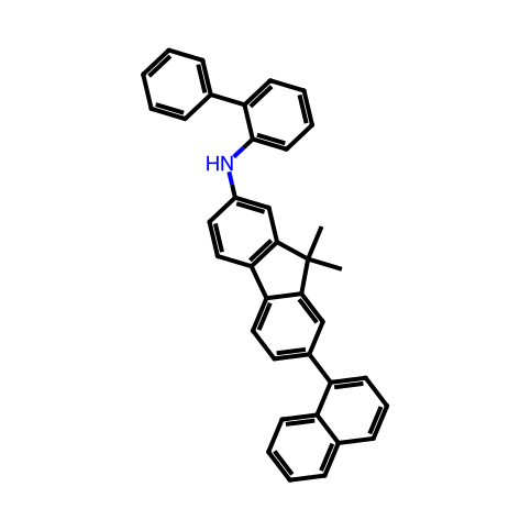 CC1(C)c2cc(Nc3ccccc3-c3ccccc3)ccc2-c2ccc(-c3cccc4ccccc34)cc21